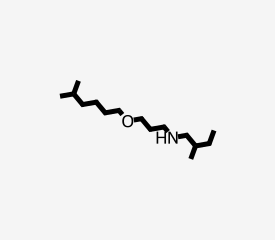 CCC(C)CNCCCOCCCCC(C)C